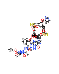 CC(C)[C@H](NC(=O)OC(C)(C)C)C(=O)N[C@@H](C)C(=O)NCc1ccccc1C(=O)Nc1nc2c(ncn2[C@@H]2O[C@@H]3CO[P@@](=O)(S)O[C@H]4C[C@H](Oc5ccncn5)C[C@@H]4CO[P@@](=O)(S)O[C@@H]2[C@@H]3O)c(=O)[nH]1